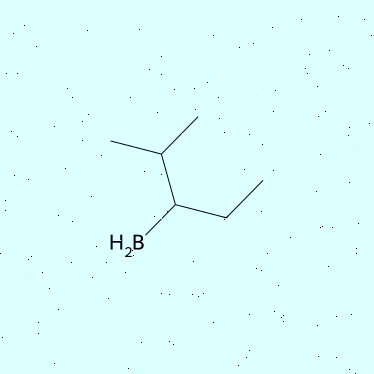 BC(CC)C(C)C